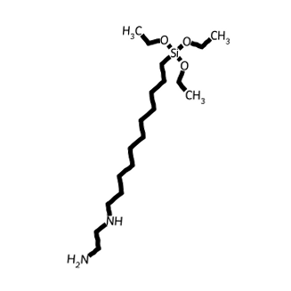 CCO[Si](CCCCCCCCCCCNCCN)(OCC)OCC